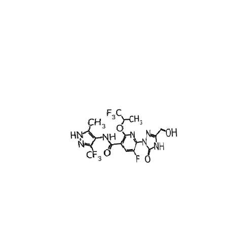 Cc1[nH]nc(C(F)(F)F)c1NC(=O)c1cc(F)c(-n2nc(CO)[nH]c2=O)nc1OC(C)C(F)(F)F